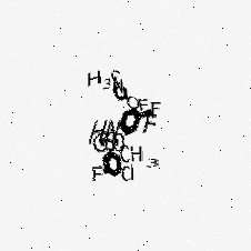 Cc1c(Cl)cc(F)cc1S(=O)(=O)Nc1ccc(C(F)(F)F)c(O[C@@H]2CCN(C)C2)c1